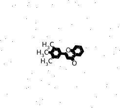 Cc1cc(-c2cc(=O)c3ccccc3o2)cc(C)c1C